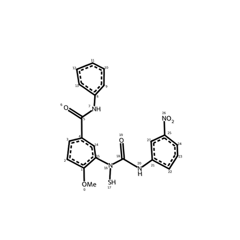 COc1ccc(C(=O)Nc2ccccc2)cc1N(S)C(=O)Nc1cccc([N+](=O)[O-])c1